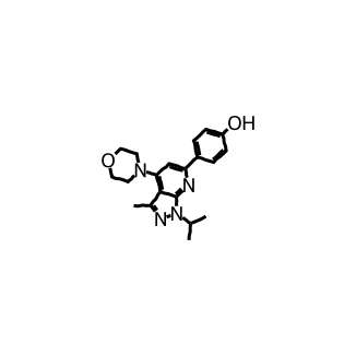 Cc1nn(C(C)C)c2nc(-c3ccc(O)cc3)cc(N3CCOCC3)c12